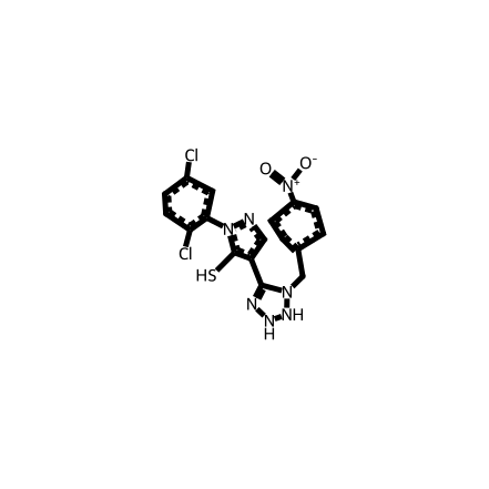 O=[N+]([O-])c1ccc(CN2NNN=C2c2cnn(-c3cc(Cl)ccc3Cl)c2S)cc1